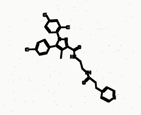 Cc1c(C(=O)NCCNC(=O)CCc2ccncc2)nn(-c2ccc(Cl)cc2Cl)c1-c1ccc(Cl)cc1